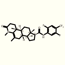 CC1=C2N(C)C(=O)CC[C@]2(C)[C@H]2CC[C@]3(C)[C@@H](C(=O)Nc4cc(F)c(C(F)(F)F)cc4F)CC[C@H]3[C@@H]2C1